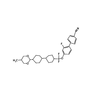 CC1COC(C2CCC(C3CCC(C(F)(F)Oc4ccc(-c5ccc(C#N)cc5)c(F)c4)CC3)CC2)OC1